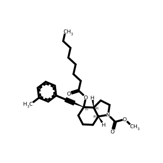 CCCCCCCC(=O)O[C@@]1(C#Cc2cccc(C)c2)CCC[C@@H]2[C@H]1CCN2C(=O)OC